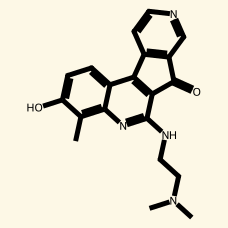 Cc1c(O)ccc2c3c(c(NCCN(C)C)nc12)C(=O)c1cnccc1-3